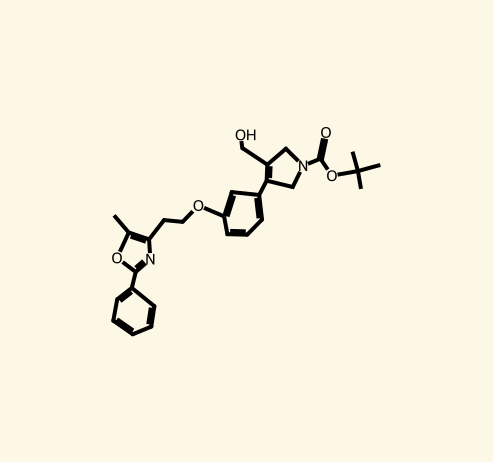 Cc1oc(-c2ccccc2)nc1CCOc1cccc(C2=C(CO)CN(C(=O)OC(C)(C)C)C2)c1